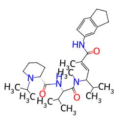 C/C(=C\C(C(C)C)N(C)C(=O)[C@@H](NC(=O)[C@H]1CCCCN1C(C)C)C(C)C)C(=O)Nc1ccc2c(c1)CCC2